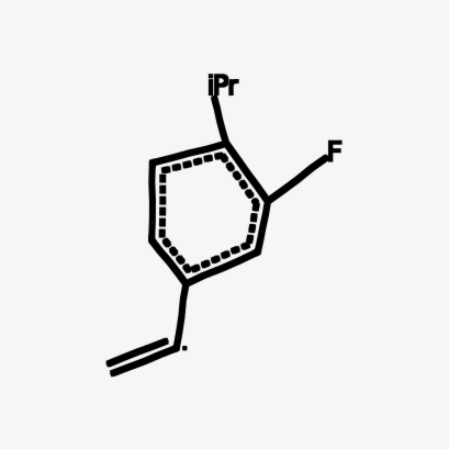 C=[C]c1ccc(C(C)C)c(F)c1